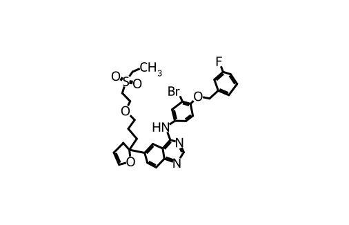 CCS(=O)(=O)CCOCCCC1(c2ccc3ncnc(Nc4ccc(OCc5cccc(F)c5)c(Br)c4)c3c2)CC=CO1